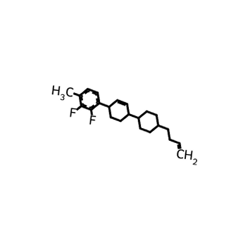 C=CCCC1CCC(C2C=CC(c3ccc(C)c(F)c3F)CC2)CC1